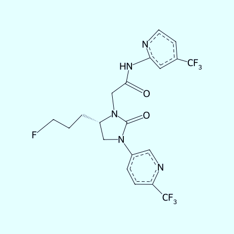 O=C(CN1C(=O)N(c2ccc(C(F)(F)F)nc2)C[C@@H]1CCCF)Nc1cc(C(F)(F)F)ccn1